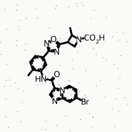 Cc1ccc(-c2noc(C3CN(C(=O)O)C3C)n2)cc1NC(=O)c1cnc2cc(Br)ccn12